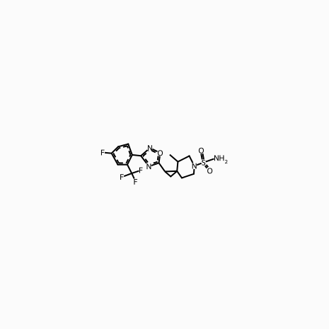 CC1CN(S(N)(=O)=O)CCC12CC2c1nc(-c2ccc(F)cc2C(F)(F)F)no1